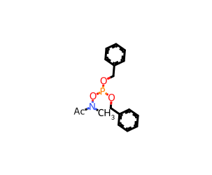 CC(=O)N(C)OP(OCc1ccccc1)OCc1ccccc1